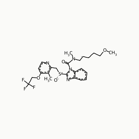 COCCC[CH]CN(C)C(=O)n1c([S@+]([O-])Cc2nccc(OCC(F)(F)F)c2C)nc2ccccc21